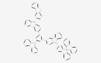 c1ccc2c(c1)-c1ccccc1C21c2ccccc2-c2ccc(-n3c4ccccc4c4cc(-c5cc(-c6ccc7c(c6)c6ccccc6n7-c6ccc7sc8ccccc8c7c6)cc(-n6c7ccccc7c7ccccc76)c5)ccc43)cc21